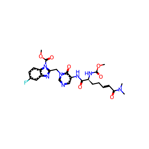 COC(=O)N[C@@H](CC/C=C/C(=O)N(C)C)C(=O)Nc1cncn(Cc2nc3cc(F)ccc3n2C(=O)OC)c1=O